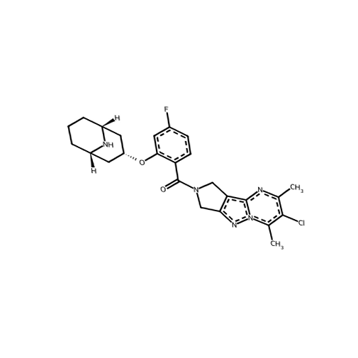 Cc1nc2c3c(nn2c(C)c1Cl)CN(C(=O)c1ccc(F)cc1O[C@H]1C[C@H]2CCC[C@@H](C1)N2)C3